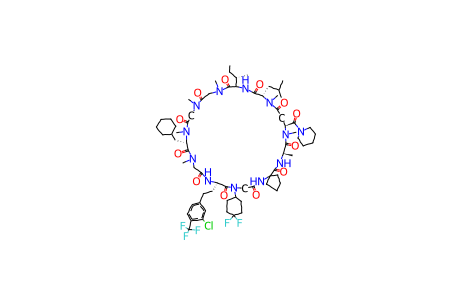 CC[C@H](C)C1NC(=O)[C@H](CC(C)C)N(C)C(=O)C[C@@H](C(=O)N2CCCCC2)N(C)C(=O)[C@@H](C)NC(=O)C2(CCCC2)NC(=O)CN(C2CCC(F)(F)CC2)C(=O)[C@H](CCc2ccc(C(F)(F)F)c(Cl)c2)NC(=O)CN(C)C(=O)[C@H](CC2CCCCC2)N(C)C(=O)CN(C)C(=O)CN(C)C1=O